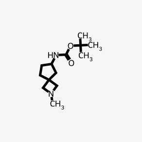 CN1CC2(CCC(NC(=O)OC(C)(C)C)C2)C1